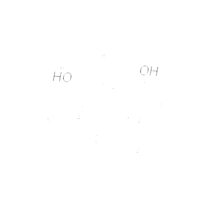 CC1(C)CC(C)(O)C1(C)O